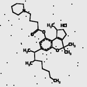 CCCCCC(C)C(C)c1cc(OC(=O)CCCN2CCCCC2)c2c(c1)OC(C)(C)C1=C2C(C)CC1.Cl